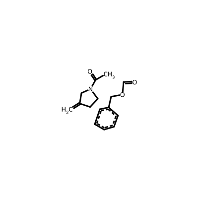 C=C1CCN(C(C)=O)C1.O=COCc1ccccc1